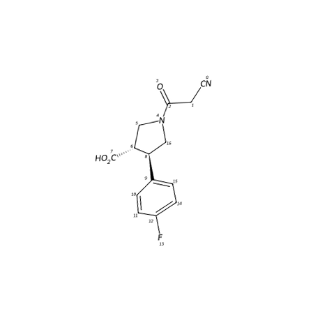 N#CCC(=O)N1C[C@@H](C(=O)O)[C@H](c2ccc(F)cc2)C1